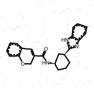 O=C(N[C@@H]1CCC[C@H](c2nc3ccccc3[nH]2)C1)C1=Cc2ccccc2OC1